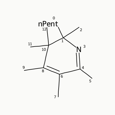 CCCCCC1(C)N=C(C)C(C)=C(C)C1(C)C